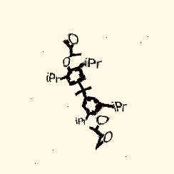 CC(C)c1cc(C(C)(C)c2cc(C(C)C)c(OC(C)C3CO3)c(C(C)C)c2)cc(C(C)C)c1OC(C)C1CO1